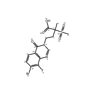 CC(CCn1cnc2c(F)c(Br)ccc2c1=O)(C(=O)O)S(C)(=O)=O